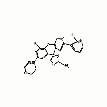 NC1=N[C@@]2(CO1)c1cc(-c3cccnc3F)ncc1Oc1c(F)cc(C3=CCOCC3)cc12